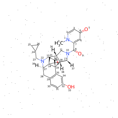 Cn1ccc(=O)cc1C(=O)N1C[C@H]2C[C@@]34CC[C@@H]1[C@@H]2[C@@]31CCN(CC2CC2)[C@@H]4Cc2ccc(O)cc21